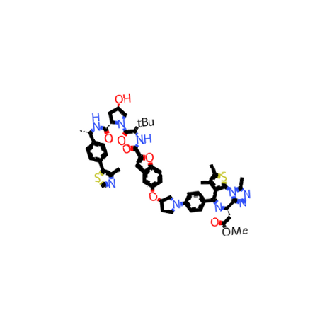 COC(=O)C[C@@H]1N=C(c2ccc(N3CCC(Oc4ccc5oc(C(=O)NC(C(=O)N6C[C@H](O)C[C@H]6C(=O)N[C@@H](C)c6ccc(-c7scnc7C)cc6)C(C)(C)C)cc5c4)C3)cc2)c2c(sc(C)c2C)-n2c(C)nnc21